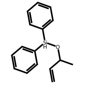 C=CC(C)O[SiH](c1ccccc1)c1ccccc1